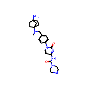 CN(Cc1ccc(-n2ccc(NC(=O)N3CCNCC3)nc2=O)cc1)C12CCC(N)(CC1)C2